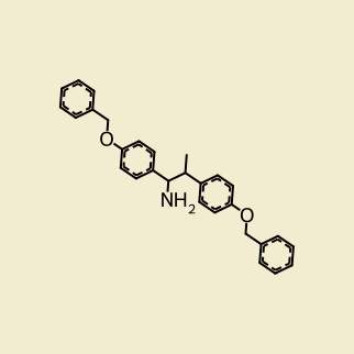 CC(c1ccc(OCc2ccccc2)cc1)C(N)c1ccc(OCc2ccccc2)cc1